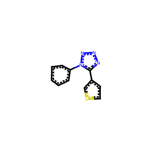 c1ccc(-n2nnnc2-c2ccsc2)cc1